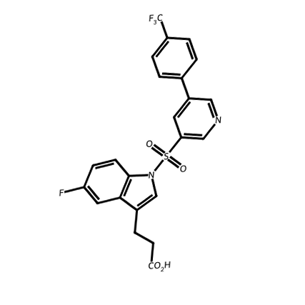 O=C(O)CCc1cn(S(=O)(=O)c2cncc(-c3ccc(C(F)(F)F)cc3)c2)c2ccc(F)cc12